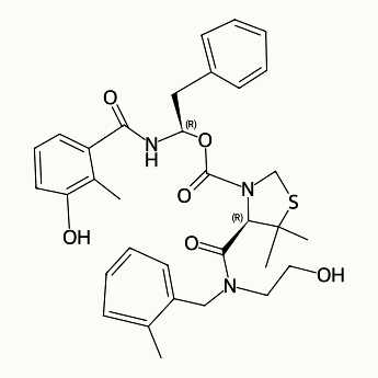 Cc1ccccc1CN(CCO)C(=O)[C@H]1N(C(=O)O[C@H](Cc2ccccc2)NC(=O)c2cccc(O)c2C)CSC1(C)C